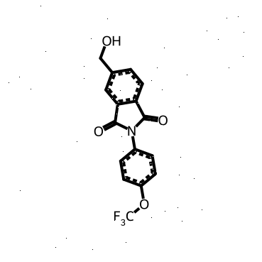 O=C1c2ccc(CO)cc2C(=O)N1c1ccc(OC(F)(F)F)cc1